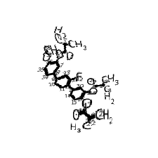 C=C(C)C(=O)Oc1cc(-c2ccc(-c3ccc(OC(=O)C(=C)C)c(OC(=O)C(=C)C)c3)c(F)c2)ccc1OC